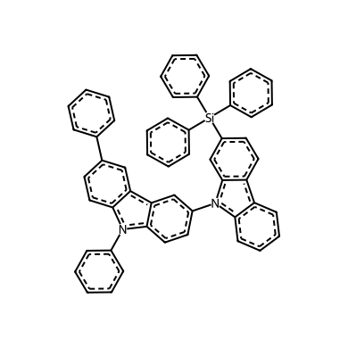 c1ccc(-c2ccc3c(c2)c2cc(-n4c5ccccc5c5ccc([Si](c6ccccc6)(c6ccccc6)c6ccccc6)cc54)ccc2n3-c2ccccc2)cc1